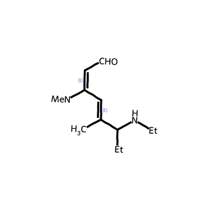 CCNC(CC)/C(C)=C/C(=C\C=O)NC